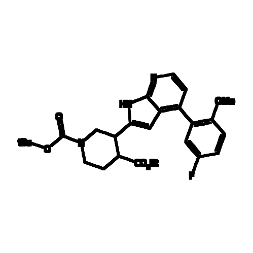 CCOC(=O)C1CCN(C(=O)OC(C)(C)C)CC1c1cc2c(-c3cc(F)ccc3OC)ccnc2[nH]1